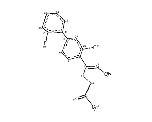 O=C(O)CCC(=NO)c1ccc(-c2ccccc2F)cc1F